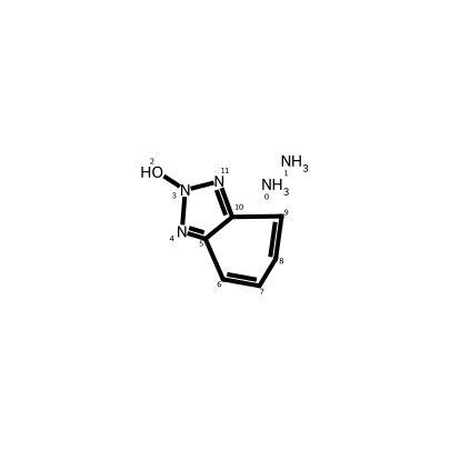 N.N.On1nc2ccccc2n1